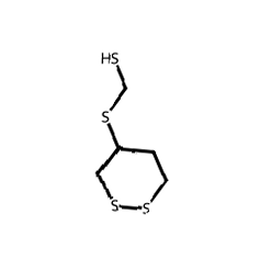 SCSC1CCSSC1